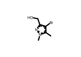 Cc1c(Br)c(CO)nn1C